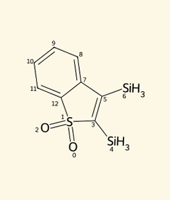 O=S1(=O)C([SiH3])=C([SiH3])c2ccccc21